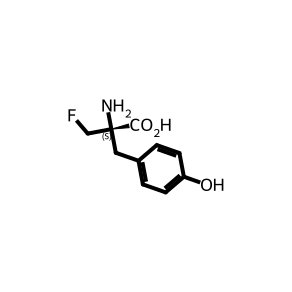 N[C@@](CF)(Cc1ccc(O)cc1)C(=O)O